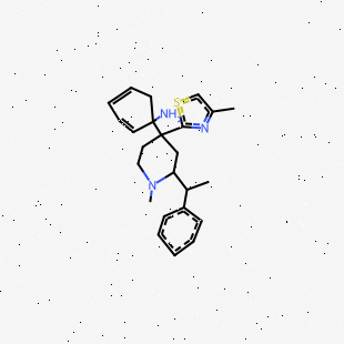 Cc1csc(C2(C3(N)C=CC=CC3)CCN(C)C(C(C)c3ccccc3)C2)n1